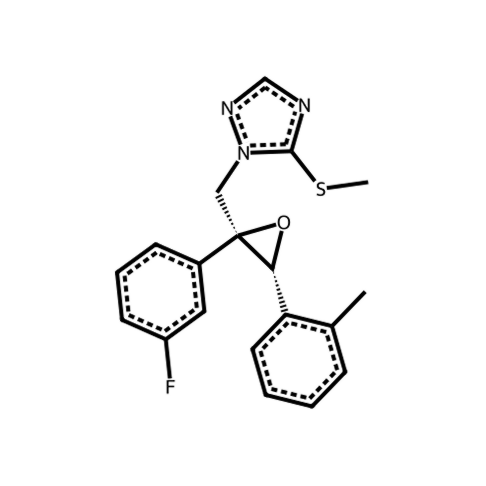 CSc1ncnn1C[C@]1(c2cccc(F)c2)O[C@@H]1c1ccccc1C